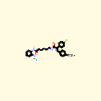 CSc1ccc(/C=C(/C(=O)NCCCCCC(=O)Nc2ccccc2N)c2ccc(F)cc2)cc1